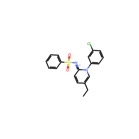 CCc1cc/c(=N\S(=O)(=O)c2ccccc2)n(-c2cccc(Cl)c2)c1